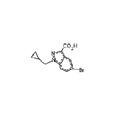 O=C(O)c1nn(CC2CC2)c2ccc(Br)cc12